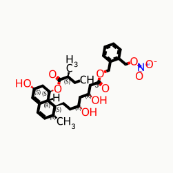 CC[C@H](C)C(=O)O[C@H]1C[C@H](O)C=C2C=C[C@H](C)[C@H](CC[C@@H](O)C[C@@H](O)CC(=O)OCc3ccccc3CO[N+](=O)[O-])[C@H]21